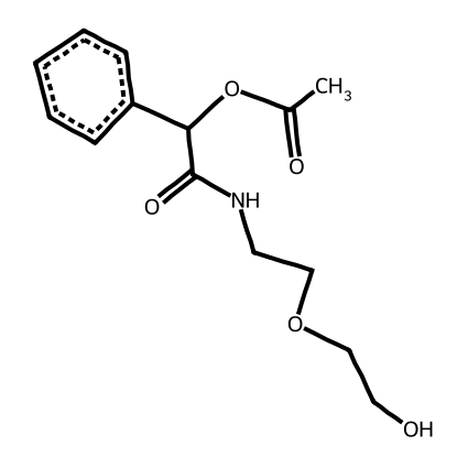 CC(=O)OC(C(=O)NCCOCCO)c1ccccc1